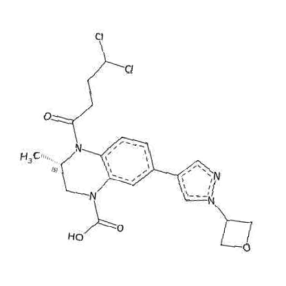 C[C@H]1CN(C(=O)O)c2cc(-c3cnn(C4COC4)c3)ccc2N1C(=O)CCC(Cl)Cl